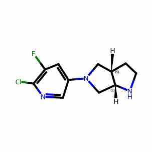 Fc1cc(N2C[C@@H]3CCN[C@@H]3C2)cnc1Cl